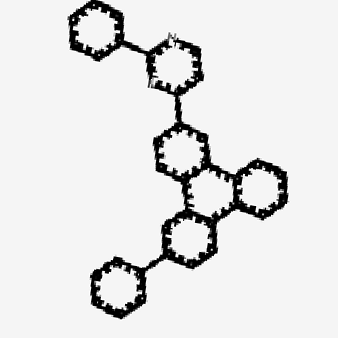 c1ccc(-c2ccc3c4ccccc4c4cc(-c5ccnc(-c6ccccc6)n5)ccc4c3c2)cc1